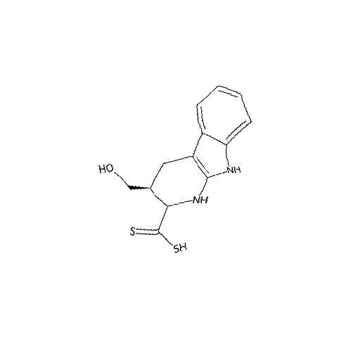 OC[C@H]1Cc2c([nH]c3ccccc23)NC1C(=S)S